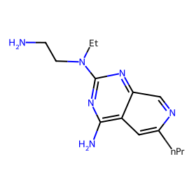 CCCc1cc2c(N)nc(N(CC)CCN)nc2cn1